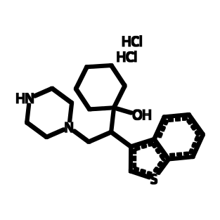 Cl.Cl.OC1(C(CN2CCNCC2)c2csc3ccccc23)CCCCC1